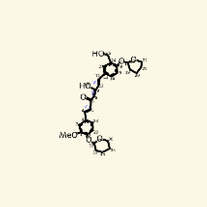 COc1cc(/C=C/C(=O)/C=C(O)/C=C/c2ccc(OC3CCCCO3)c(CO)c2)ccc1OC1CCCCO1